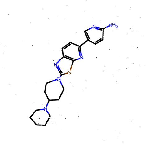 Nc1ccc(-c2ccc3nc(N4CCC(N5CCCCC5)CC4)sc3n2)cn1